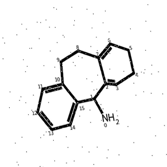 NC1C2=CCCC=C2CCc2ccccc21